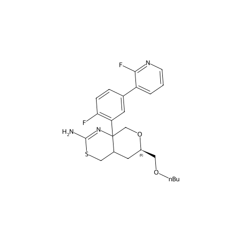 CCCCOC[C@H]1CC2CSC(N)=NC2(c2cc(-c3cccnc3F)ccc2F)CO1